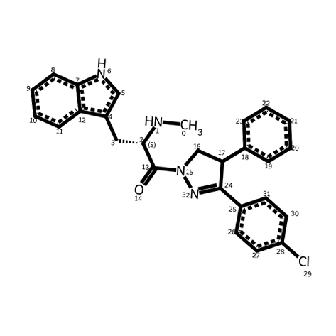 CN[C@@H](Cc1c[nH]c2ccccc12)C(=O)N1CC(c2ccccc2)C(c2ccc(Cl)cc2)=N1